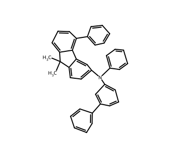 CC1(C)c2ccc(N(c3ccccc3)c3cccc(-c4ccccc4)c3)cc2-c2c(-c3ccccc3)cccc21